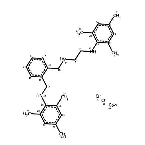 Cc1cc(C)c(NCCNCc2ncccc2CNc2c(C)cc(C)cc2C)c(C)c1.[Cl-].[Cl-].[Co+2]